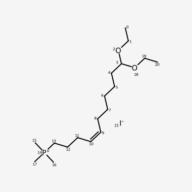 CCOC(CCCCC/C=C\CCC[P+](C)(C)C)OCC.[I-]